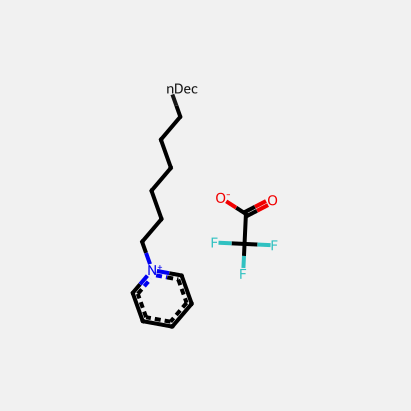 CCCCCCCCCCCCCCCC[n+]1ccccc1.O=C([O-])C(F)(F)F